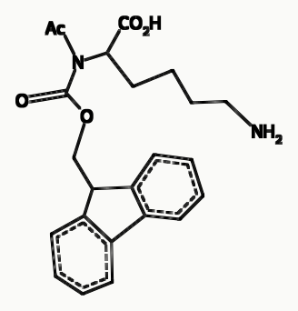 CC(=O)N(C(=O)OCC1c2ccccc2-c2ccccc21)C(CCCCN)C(=O)O